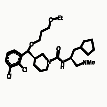 CCOCCCOC(c1cccc(Cl)c1Cl)[C@@H]1CCCN(C(=O)N[C@H](CNC)CC2CCCC2)C1